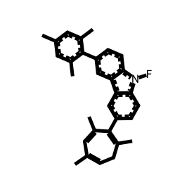 CC1=CCC(C)=C(c2ccc3c(c2)c2cc(-c4c(C)cc(C)cc4C)ccc2n3F)C(C)=C1